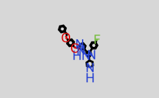 Fc1ccc(-c2nc(C3CCNCC3)[nH]c2-c2ccnc(Oc3ccc(OCc4ccccc4)cc3)n2)cc1